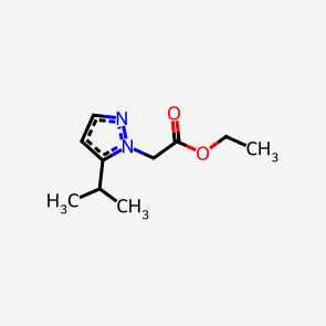 CCOC(=O)Cn1nccc1C(C)C